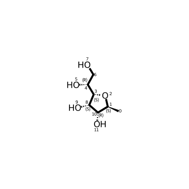 C[C@@H]1O[C@@H]([C@H](O)CO)[C@@H](O)[C@H]1O